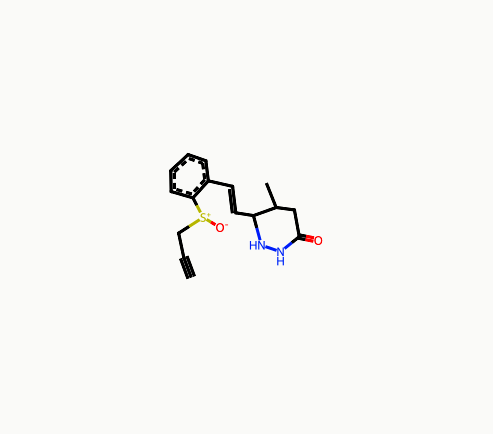 C#CC[S+]([O-])c1ccccc1/C=C/C1NNC(=O)CC1C